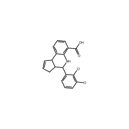 O=C(O)c1cccc2c1NC(c1cccc(Cl)c1Cl)C1CC=CC21